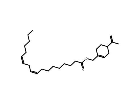 C=C(C)C1CC=C(COC(=O)CCCCCCC/C=C\C/C=C\CCCCC)CC1